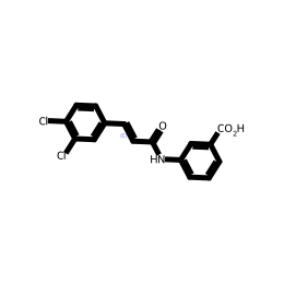 O=C(/C=C/c1ccc(Cl)c(Cl)c1)Nc1cccc(C(=O)O)c1